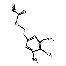 C=CC(=O)OCCc1cc([N+](=O)[O-])c([N+](=O)[O-])c([N+](=O)[O-])c1